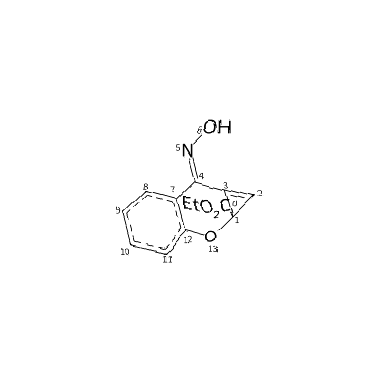 CCOC(=O)C12C=C1/C(=N\O)c1ccccc1O2